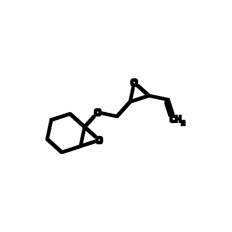 C=CC1OC1COC12CCCCC1O2